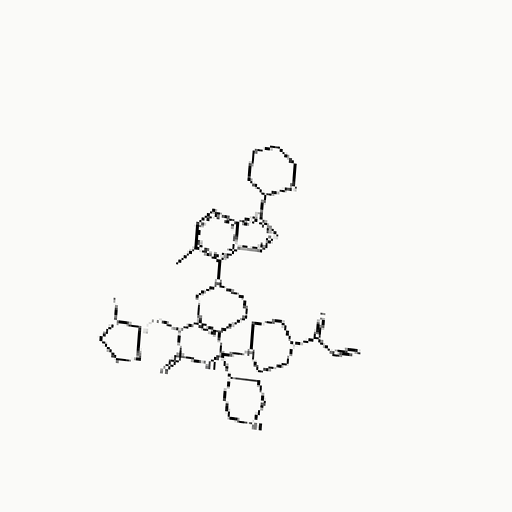 C=CC(=O)N1CCN(C2(N3CCNCC3)NC(=O)N(C[C@@H]3CCCN3C)C3=C2CCN(c2c(C)ccc4c2cnn4C2CCCCO2)C3)CC1